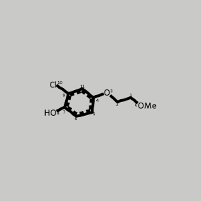 COCCOc1ccc(O)c(Cl)c1